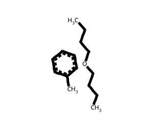 CCCCOCCCC.Cc1ccccc1